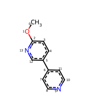 COc1ccc(-c2ccncc2)cn1